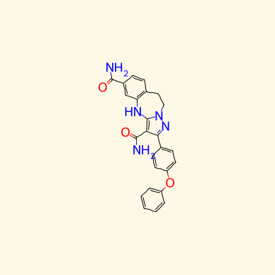 NC(=O)c1ccc2c(c1)Nc1c(C(N)=O)c(-c3ccc(Oc4ccccc4)cc3)nn1CC2